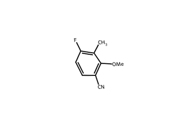 COc1c(C#N)ccc(F)c1C